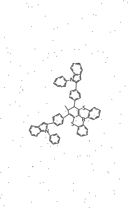 CC1C(c2ccc(-c3cc4ccccc4n3-c3ccccc3)cc2)=C2Sc3ccccc3B3C2=C(Sc2ccccc23)C1c1ccc(-c2cc3ccccc3n2-c2ccccc2)cc1